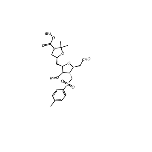 COC1[C@@H](CS(=O)(=O)c2ccc(C)cc2)[C@H](CC=O)O[C@@H]1C[C@H]1CN(C(=O)OC(C)(C)C)C(C)(C)O1